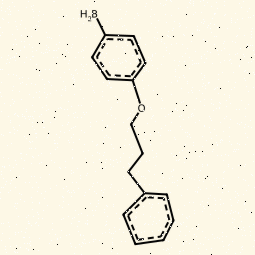 Bc1ccc(OCCCc2ccccc2)cc1